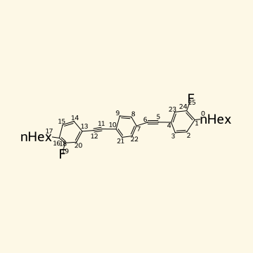 CCCCCCc1ccc(C#Cc2ccc(C#Cc3ccc(CCCCCC)c(F)c3)cc2)cc1F